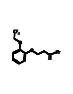 CC(C)NCCOc1ccccc1OCC(F)(F)F